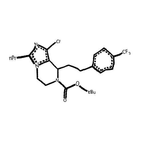 CCCc1nc(Cl)c2n1CCN(C(=O)OC(C)(C)C)C2CCc1ccc(C(F)(F)F)cc1